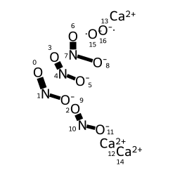 O=N[O-].O=N[O-].O=N[O-].O=N[O-].[Ca+2].[Ca+2].[Ca+2].[O-].[O-]